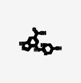 O=C(O)c1cc(NC2=NCC(O)CN2)c2cn[nH]c2c1